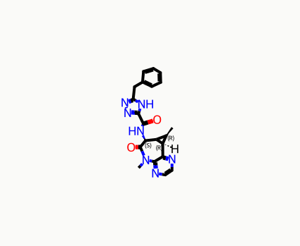 C[C@@H]1C2[C@H](NC(=O)c3nnc(Cc4ccccc4)[nH]3)C(=O)N(C)c3nccnc3[C@@H]21